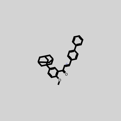 COc1ccc(C23CC4CC(CC(C4)C2)C3)cc1C(=O)/C=C/c1ccc(-c2ccccc2)cc1